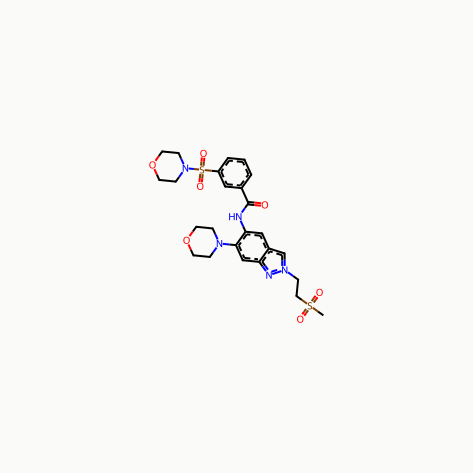 CS(=O)(=O)CCn1cc2cc(NC(=O)c3cccc(S(=O)(=O)N4CCOCC4)c3)c(N3CCOCC3)cc2n1